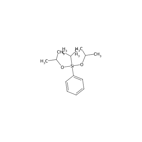 CC(C)O[Si](OC(C)C)(c1ccccc1)C(C)C